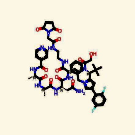 C[C@H](NC(=O)c1ccncc1)C(=O)N[C@@H](C)C(=O)N[C@@H](CC(N)=O)C(=O)N[C@@H](CCN(C(=O)CO)[C@@H](c1cc(-c2cc(F)ccc2F)cn1Cc1ccccc1)C(C)(C)C)C(=O)NCCNC(=O)CN1C(=O)C=CC1=O